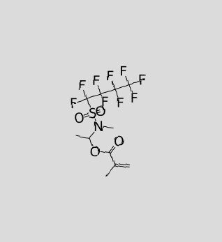 C=C(C)C(=O)OC(C)N(C)S(=O)(=O)C(F)(F)C(F)(F)C(F)(F)C(F)(F)F